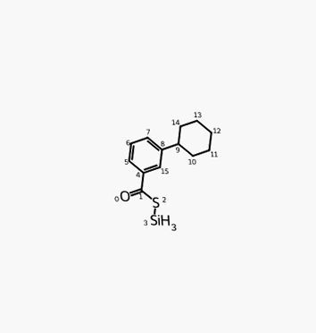 O=C(S[SiH3])c1cccc(C2CCCCC2)c1